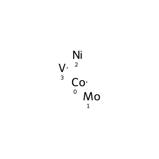 [Co].[Mo].[Ni].[V]